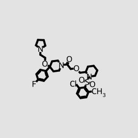 Cc1cccc(Cl)c1S(=O)(=O)N1CCCCC1COCC(=O)N1CCC(OCCN2CCCC2)(c2ccc(F)cc2)CC1